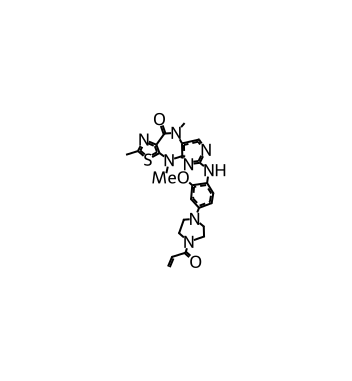 C=CC(=O)N1CCN(c2ccc(Nc3ncc4c(n3)N(C)c3sc(C)nc3C(=O)N4C)c(OC)c2)CC1